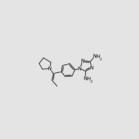 C/C=C(\c1ccc(-n2nc(N)nc2N)cc1)N1CCCC1